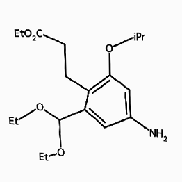 CCOC(=O)CCc1c(OC(C)C)cc(N)cc1C(OCC)OCC